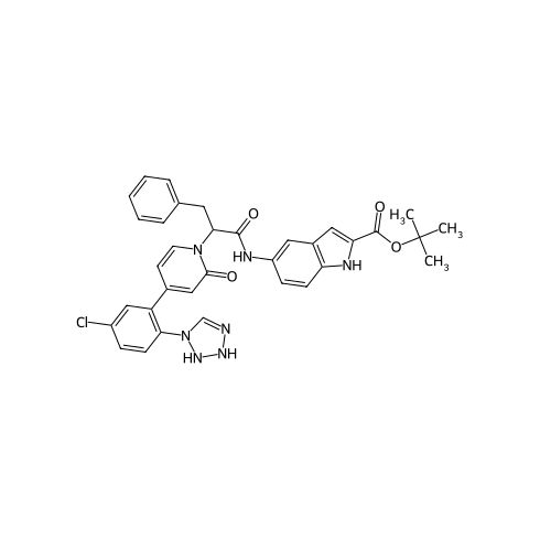 CC(C)(C)OC(=O)c1cc2cc(NC(=O)C(Cc3ccccc3)n3ccc(-c4cc(Cl)ccc4N4C=NNN4)cc3=O)ccc2[nH]1